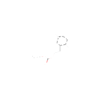 CCCCCCCCCOC(=O)OCCc1cc(C)ccc1C